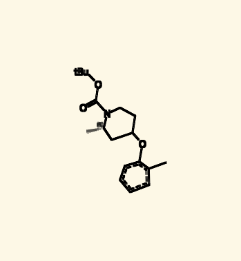 Cc1ccccc1OC1CCN(C(=O)OC(C)(C)C)[C@@H](C)C1